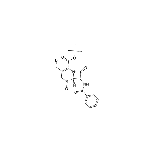 CC(C)(C)OC(=O)C1=C(CBr)C[S+]([O-])[C@H]2C(NC(=O)c3ccccc3)C(=O)N12